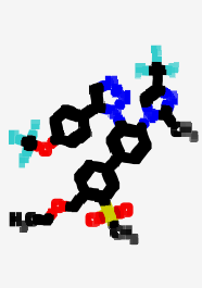 CCOCc1ccc(-c2ccc(-n3cc(C(F)(F)F)nc3C)c(-n3nncc3-c3ccc(OC(F)(F)F)cc3)c2)cc1S(C)(=O)=O